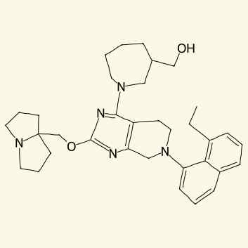 CCc1cccc2cccc(N3CCc4c(nc(OCC56CCCN5CCC6)nc4N4CCCCC(CO)C4)C3)c12